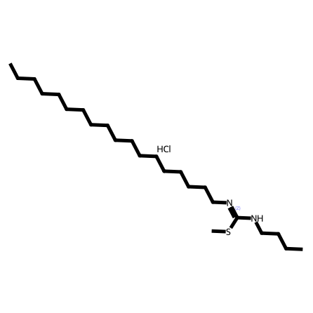 CCCCCCCCCCCCCCCCCC/N=C(/NCCCC)SC.Cl